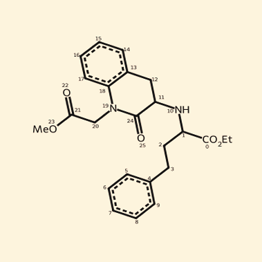 CCOC(=O)C(CCc1ccccc1)NC1Cc2ccccc2N(CC(=O)OC)C1=O